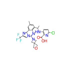 Cc1cc(C(C)Nc2ccc(Cl)nc2C(=O)O)c2nc(N3CC4(COC4)C3)n3cc(C(F)(F)F)nc3c2c1